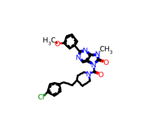 COc1cccc(-c2ncc3c(n2)n(C)c(=O)n3C(=O)N2CCC(CCc3ccc(Cl)cc3)CC2)c1